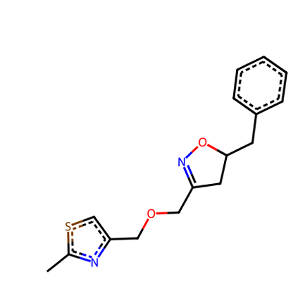 Cc1nc(COCC2=NOC(Cc3ccccc3)C2)cs1